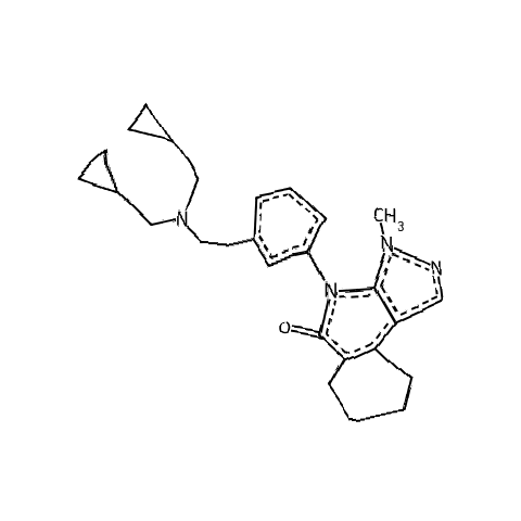 Cn1ncc2c3c(c(=O)n(-c4cccc(CN(CC5CC5)CC5CC5)c4)c21)CCCC3